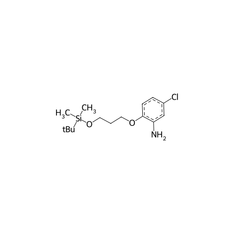 CC(C)(C)[Si](C)(C)OCCCOc1ccc(Cl)cc1N